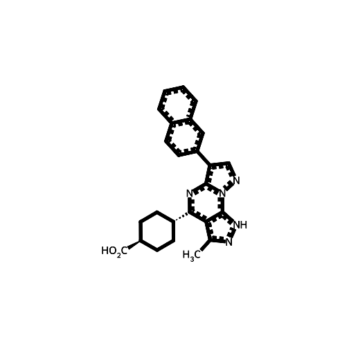 Cc1n[nH]c2c1c([C@H]1CC[C@H](C(=O)O)CC1)nc1c(-c3ccc4ccccc4c3)cnn12